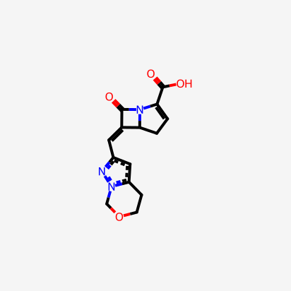 O=C(O)C1=CCC2/C(=C\c3cc4n(n3)COCC4)C(=O)N12